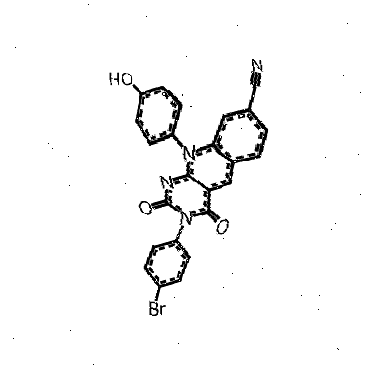 N#Cc1ccc2cc3c(=O)n(-c4ccc(Br)cc4)c(=O)nc-3n(-c3ccc(O)cc3)c2c1